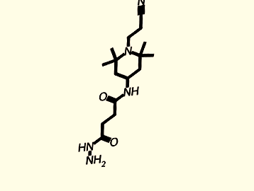 CC1(C)CC(NC(=O)CCC(=O)NN)CC(C)(C)N1CCC#N